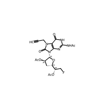 C#CCn1c(=O)n([C@@H]2O[C@H]([C@H](CF)OC(C)=O)C[C@H]2OC(C)=O)c2nc(NC(C)=O)[nH]c(=O)c21